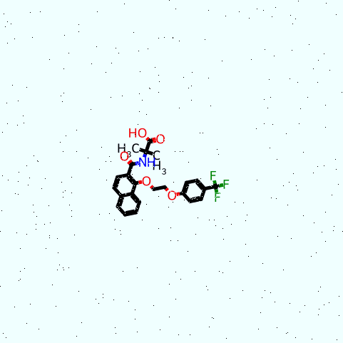 CC(C)(NC(=O)c1ccc2ccccc2c1OCCOc1ccc(C(F)(F)F)cc1)C(=O)O